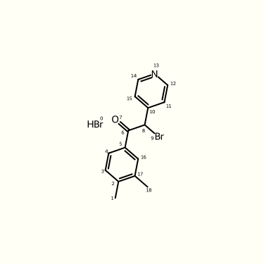 Br.Cc1ccc(C(=O)C(Br)c2ccncc2)cc1C